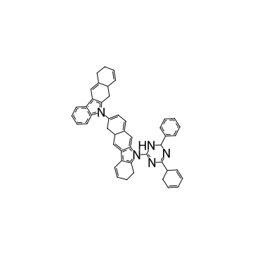 C1=CCC(C2=NC(c3ccccc3)NC(n3c4c(c5c3=CC3=CC=C(n6c7c(c8ccccc86)C=C6CCC=CC6C7)CC3C=5)C=CCC4)=N2)C=C1